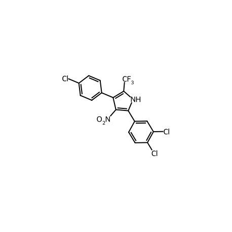 O=[N+]([O-])c1c(-c2ccc(Cl)c(Cl)c2)[nH]c(C(F)(F)F)c1-c1ccc(Cl)cc1